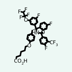 O=C(O)CCCCCOc1ccc(C[C@@](NC(=O)c2ccc(F)c(C(F)(F)F)c2)(c2ccc(F)cc2)c2cc(F)cc(OC(F)(F)C(F)F)c2)cc1